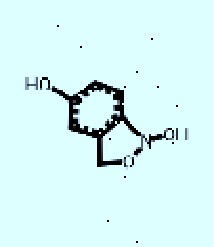 Oc1ccc2c(c1)CON2O